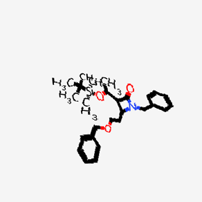 CC(O[Si](C)(C)C(C)(C)C)C1C(=O)N(Cc2ccccc2)C1CCOCc1ccccc1